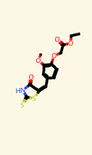 CCOC(=O)COc1ccc(/C=C2/SC(=S)NC2=O)cc1OC